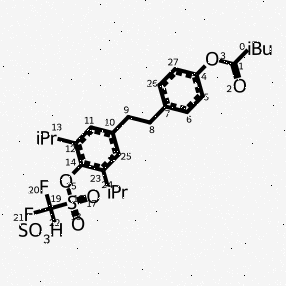 CCC(C)C(=O)Oc1ccc(CCc2cc(C(C)C)c(OS(=O)(=O)C(F)(F)S(=O)(=O)O)c(C(C)C)c2)cc1